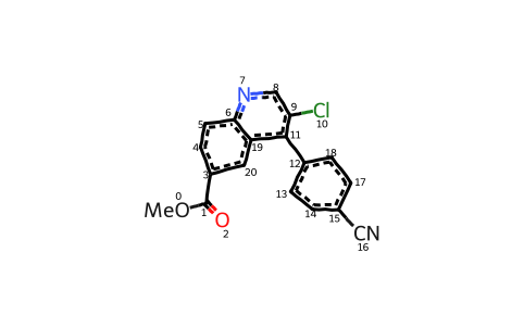 COC(=O)c1ccc2ncc(Cl)c(-c3ccc(C#N)cc3)c2c1